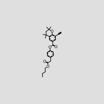 C#Cc1cc(C(=O)Oc2ccc(CC(=O)OCCCC)cc2)cc2c1OC(C)(C)CC2(C)C